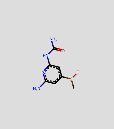 C[S+]([O-])c1cc(N)nc(NC(N)=O)c1